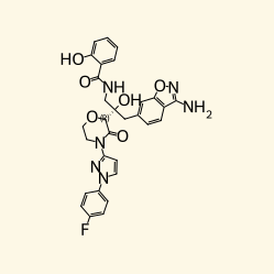 Nc1noc2cc(CC(O)(CNC(=O)c3ccccc3O)[C@H]3OCCN(c4ccn(-c5ccc(F)cc5)n4)C3=O)ccc12